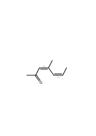 C/C=C\C(C)=C/C(C)=O